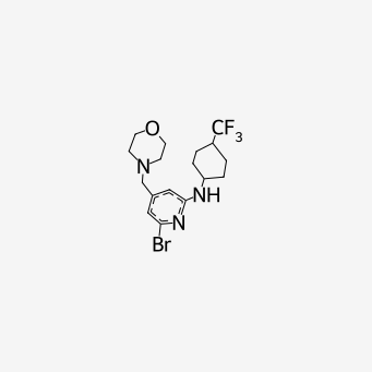 FC(F)(F)C1CCC(Nc2cc(CN3CCOCC3)cc(Br)n2)CC1